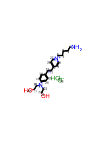 Cl.NCCCCC[n+]1ccc(/C=C/c2ccc(N(CCO)CCO)cc2)cc1.[Cl-]